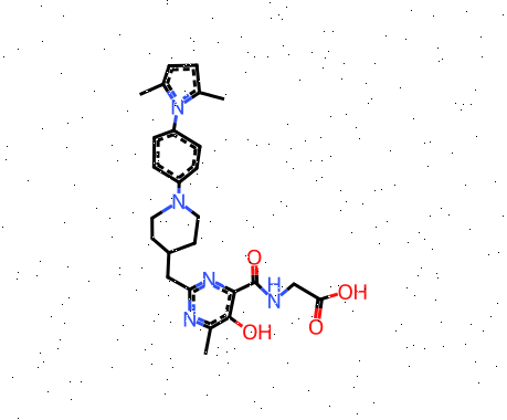 Cc1nc(CC2CCN(c3ccc(-n4c(C)ccc4C)cc3)CC2)nc(C(=O)NCC(=O)O)c1O